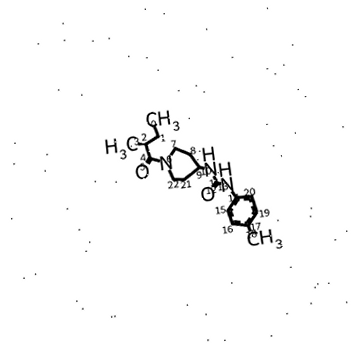 CC[C@H](C)C(=O)N1CCC(NC(=O)Nc2ccc(C)cc2)CC1